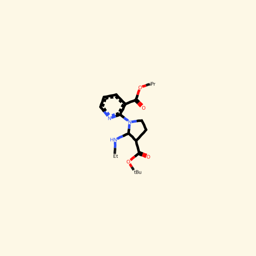 CCNC1C(C(=O)OC(C)(C)C)CCN1c1ncccc1C(=O)OC(C)C